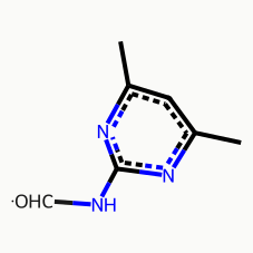 Cc1cc(C)nc(N[C]=O)n1